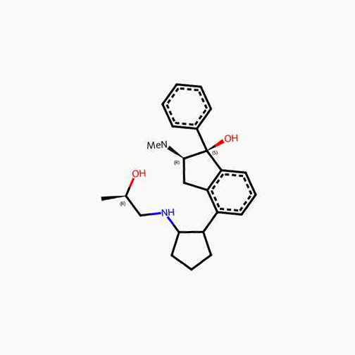 CN[C@@H]1Cc2c(C3CCCC3NC[C@@H](C)O)cccc2[C@@]1(O)c1ccccc1